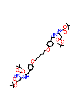 CC(C)(C)OC(=O)/C=C(/NCCc1ccc(OCCCCCCOc2ccc(CCN/C(CC(=O)OC(C)(C)C)=N/C(=O)OC(C)(C)C)cc2)cc1)NC(=O)OC(C)(C)C